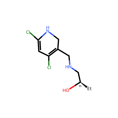 CC[C@@H](O)CNCC1=C(Cl)C=C(Cl)NC1